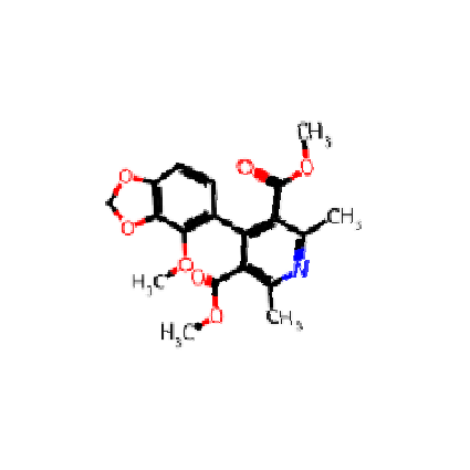 COC(=O)c1c(C)nc(C)c(C(=O)OC)c1-c1ccc2c(c1OC)OCO2